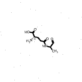 CC([C]=O)NC(=O)CC[C@H](N)C(=O)O